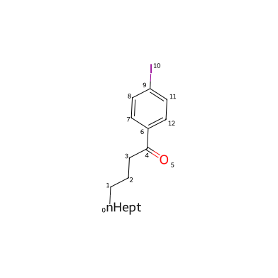 CCCCCCCCCCC(=O)c1ccc(I)cc1